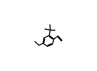 C=Cc1ccc(CC)cc1C(C)(C)C